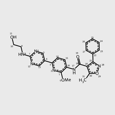 COc1nc(-c2cnc(NCCO)nc2)ccc1NC(=O)c1c(-c2ccccc2)noc1C